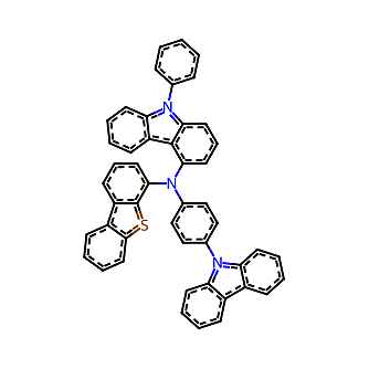 c1ccc(-n2c3ccccc3c3c(N(c4ccc(-n5c6ccccc6c6ccccc65)cc4)c4cccc5c4sc4ccccc45)cccc32)cc1